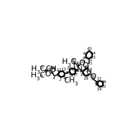 Cc1cc(CC(=O)OC(C)(C)C)ccc1-c1ccc2c(c1)n(C)c(=O)n2-c1ccc(OCc2ccccc2)nc1OCc1ccccc1